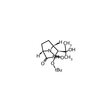 CC(C)(C)OC(=O)N1[C@@H]2CC[C@H]1C(=O)N[C@@H]2C(C)(C)O